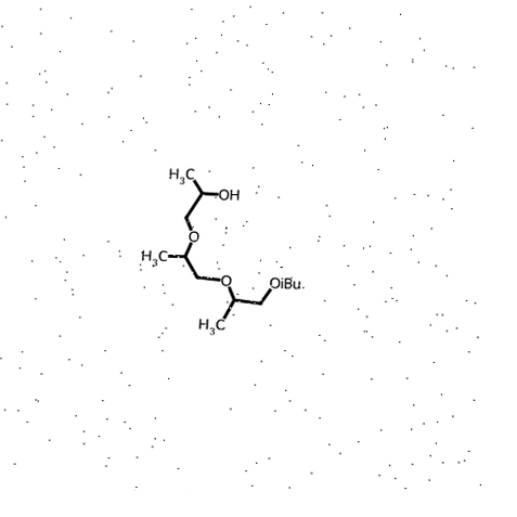 CC(C)COCC(C)OCC(C)OCC(C)O